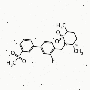 CC1CC[C@H](C)N(Cc2ccc(-c3cccc(S(C)(=O)=O)c3)cc2F)S1(=O)=O